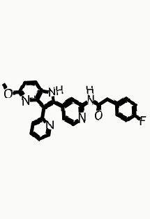 COc1ccc2[nH]c(-c3ccnc(NC(=O)Cc4ccc(F)cc4)c3)c(-c3ccccn3)c2n1